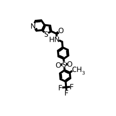 Cc1cc(C(F)(F)F)ccc1S(=O)(=O)c1ccc(CNC(=O)c2cc3ccncc3s2)cc1